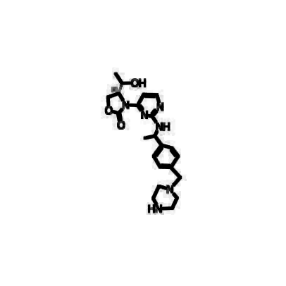 CC(Nc1nccc(N2C(=O)OC[C@@H]2C(C)O)n1)c1ccc(CN2CCNCC2)cc1